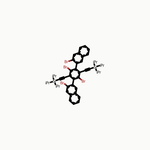 CC(C)[Si](C#Cc1c(Br)c(-c2cc3ccccc3cc2Br)c(C#C[Si](C(C)C)(C(C)C)C(C)C)c(Br)c1-c1cc2ccccc2cc1Br)(C(C)C)C(C)C